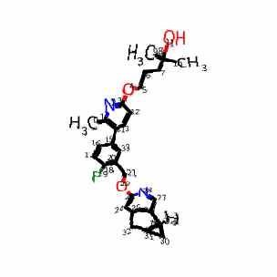 Cc1nc(OCCCC(C)(C)O)ccc1-c1ccc(F)c(COc2cc3c(cn2)[C@@H]2CC2C3)c1